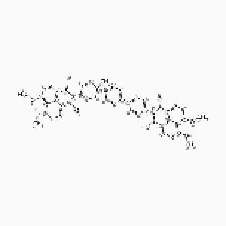 COc1ccc2c3c(ccc(OC)c13)C(=O)N(C1=CCC(C)(c3ccc(-c4ccc(N5C(=O)c6ccc(OC)c7c(OC)ccc(c67)C5=O)cc4)cc3)C=C1)C2=O